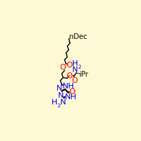 CCCCCCCCCCCCCCCCCC(=O)OCCC(COC(=O)[C@@H](N)C(C)C)Cc1nc2nc(N)[nH]c(=O)c2[nH]1